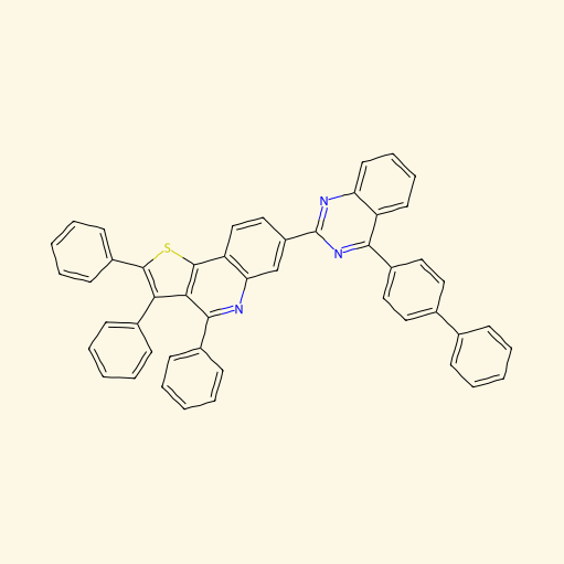 c1ccc(-c2ccc(-c3nc(-c4ccc5c(c4)nc(-c4ccccc4)c4c(-c6ccccc6)c(-c6ccccc6)sc45)nc4ccccc34)cc2)cc1